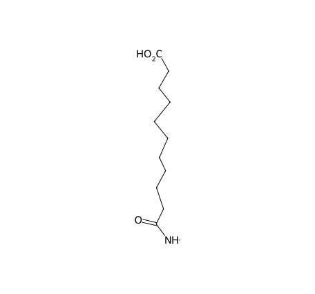 [NH]C(=O)CCCCCCCCCC(=O)O